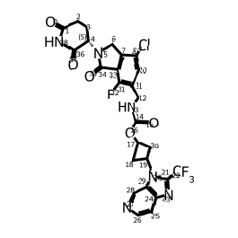 O=C1CC[C@H](N2Cc3c(Cl)cc(CNC(=O)OC4CC(n5c(C(F)(F)F)nc6ccncc65)C4)c(F)c3C2=O)C(=O)N1